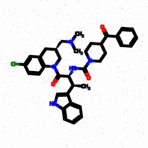 C[C@@H](c1c[nH]c2ccccc12)[C@@H](NC(=O)N1CCC(C(=O)c2ccccc2)CC1)C(=O)N1C[C@@H](CN(C)C)Cc2cc(Cl)ccc21